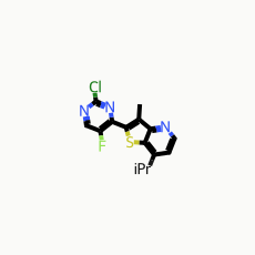 Cc1c(-c2nc(Cl)ncc2F)sc2c(C(C)C)ccnc12